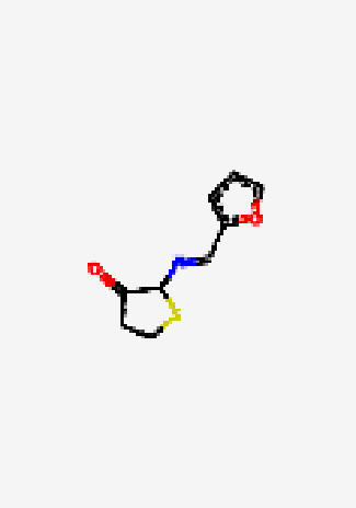 O=C1CCSC1N=Cc1ccco1